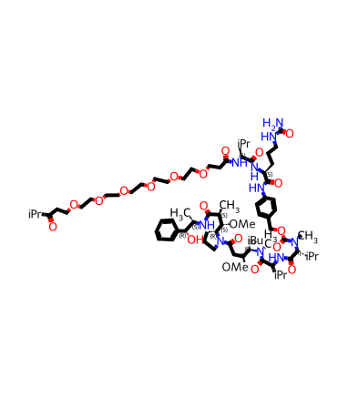 CC[C@@H](C)[C@H]([C@H](CC(=O)N1CCC[C@@H]1[C@@H](OC)[C@H](C)C(=O)N[C@@H](C)[C@H](O)c1ccccc1)OC)N(C)C(=O)C(NC(=O)[C@@H](C(C)C)N(C)C(=O)OCc1ccc(NC(=O)[C@H](CCCNC(N)=O)NC(=O)[C@@H](NC(=O)CCOCCOCCOCCOCCOCCOCCC(=O)C(C)C)C(C)C)cc1)C(C)C